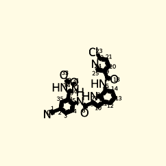 N#Cc1ccc(NC(=O)c2cc3cccc(NC(=O)c4ccc(Cl)nc4)c3[nH]2)c(-c2noc(=O)[nH]2)c1